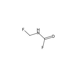 O=C(F)NCF